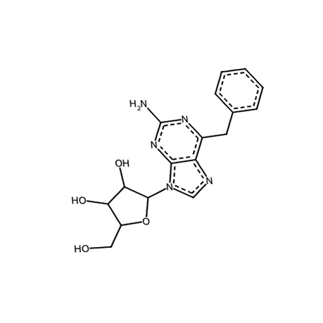 Nc1nc(Cc2ccccc2)c2ncn(C3OC(CO)C(O)C3O)c2n1